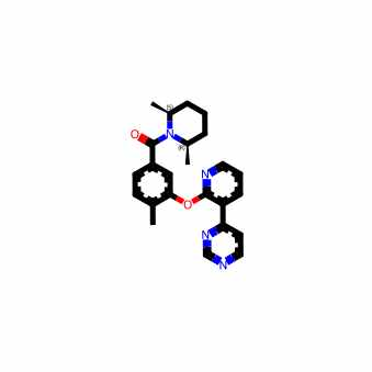 Cc1ccc(C(=O)N2[C@H](C)CCC[C@@H]2C)cc1Oc1ncccc1-c1ccncn1